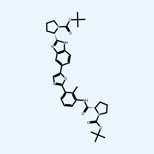 Cc1c(NC(=O)[C@@H]2CCCN2C(=O)OC(C)(C)C)cccc1-c1ncc(-c2ccc3[nH]c([C@@H]4CCCN4C(=O)OC(C)(C)C)nc3c2)o1